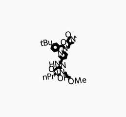 CCCN1C(=O)c2[nH]c(-c3ccc(N(CC4CC(=O)N(C)C4)C(=O)c4cccc(C(C)(C)C)c4)nc3)nc2N(CCCOC)C1O